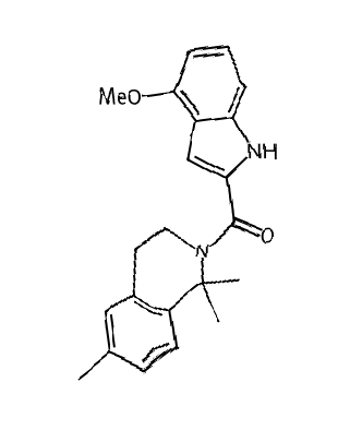 COc1cccc2[nH]c(C(=O)N3CCc4cc(C)ccc4C3(C)C)cc12